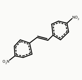 O=[N+]([O-])c1ccc([C]=Cc2ccc([N+](=O)[O-])cc2)cc1